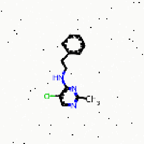 Cc1ncc(Cl)c(NCCc2ccccc2)n1